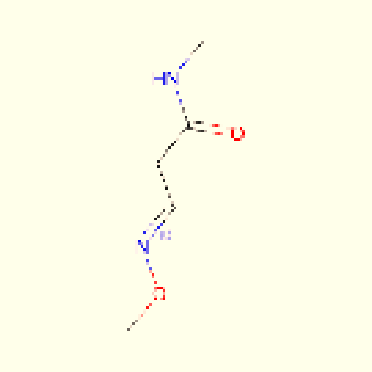 CNC(=O)C/C=N/OC